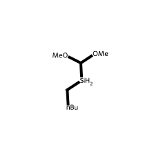 CCCC[CH][SiH2]C(OC)OC